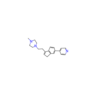 CN1CCN(CCC2=CCc3cc(-c4ccncc4)ccc32)CC1